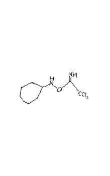 N=C(ONC1CCCCC1)C(Cl)(Cl)Cl